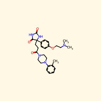 Cc1ccccc1N1CCN(C(=O)CCC2(c3ccc(OCCN(C)C)cc3)NC(=O)NC2=O)CC1